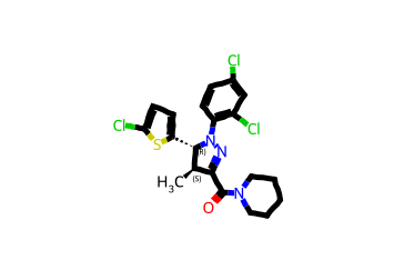 C[C@@H]1C(C(=O)N2CCCCC2)=NN(c2ccc(Cl)cc2Cl)[C@H]1c1ccc(Cl)s1